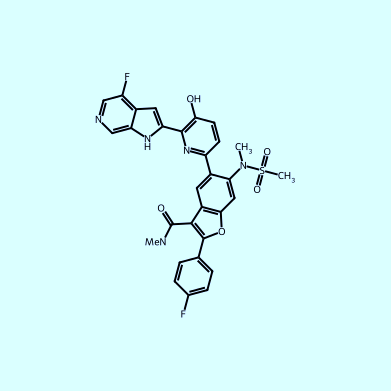 CNC(=O)c1c(-c2ccc(F)cc2)oc2cc(N(C)S(C)(=O)=O)c(-c3ccc(O)c(-c4cc5c(F)cncc5[nH]4)n3)cc12